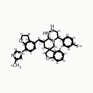 Cc1cn(-c2ccc(/C=C3\CC4(COc5ccccc54)CN4C3NNCC4c3ccc(F)cc3)c3c2OCC3)cn1